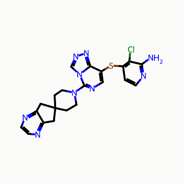 Nc1nccc(Sc2cnc(N3CCC4(CC3)Cc3nccnc3C4)n3cnnc23)c1Cl